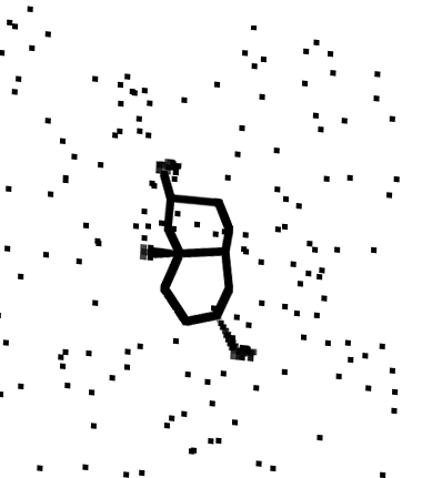 CCCC1CCC2C[C@H](CCC)CC[C@@H]2C1